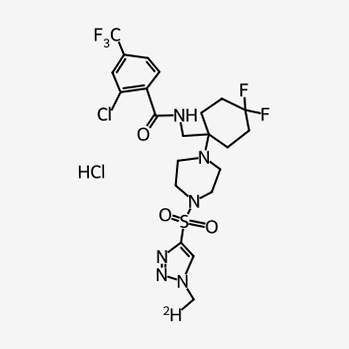 Cl.[2H]Cn1cc(S(=O)(=O)N2CCN(C3(CNC(=O)c4ccc(C(F)(F)F)cc4Cl)CCC(F)(F)CC3)CC2)nn1